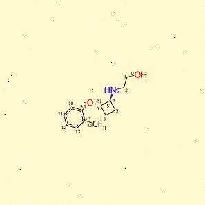 OCCN[C@H]1CC[C@@H]1Oc1ccccc1C(F)(F)F